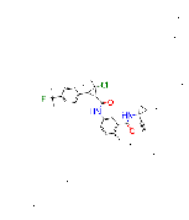 C#CC1(NC(=O)c2cc(NC(=O)C3C(c4ccc(C(C)(C)F)cc4)C3(C)Cl)ccc2C)CC1